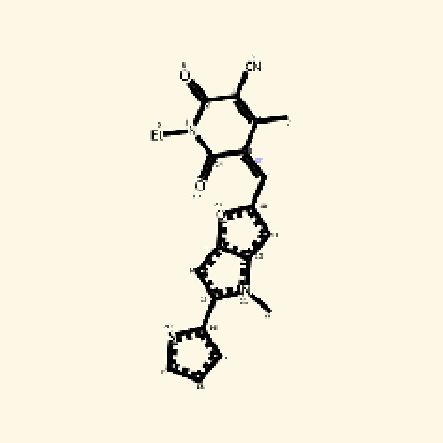 CCN1C(=O)C(C#N)=C(C)/C(=C/c2cc3c(cc(-c4cccs4)n3C)o2)C1=O